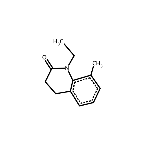 CCN1C(=O)CCc2cccc(C)c21